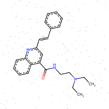 CCN(CC)CCNC(=O)c1cc(/C=C/c2ccccc2)nc2ccccc12